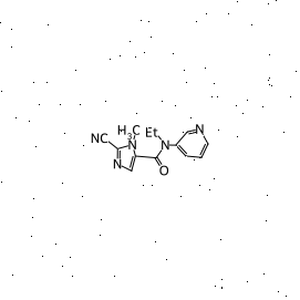 CCN(C(=O)c1cnc(C#N)n1C)c1cccnc1